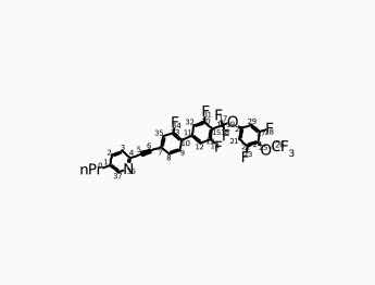 CCCc1ccc(C#Cc2ccc(-c3cc(F)c(C(F)(F)Oc4cc(F)c(OC(F)(F)F)c(F)c4)c(F)c3)c(F)c2)nc1